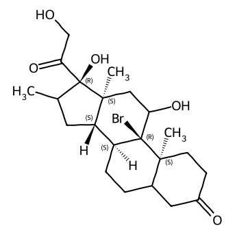 CC1C[C@H]2[C@@H]3CCC4CC(=O)CC[C@]4(C)[C@@]3(Br)C(O)C[C@]2(C)[C@@]1(O)C(=O)CO